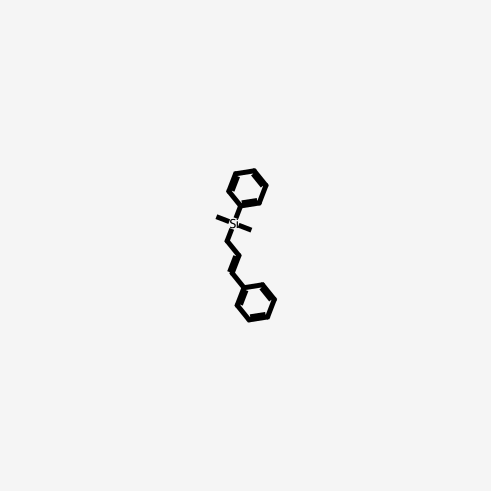 C[Si](C)(CC=Cc1ccccc1)c1ccccc1